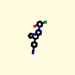 N#Cc1ccc(C(Cc2ccc(-n3cc(Cl)ccc3=O)cc2)c2ccc[nH]2)cc1